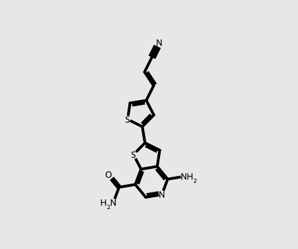 N#C/C=C/c1csc(-c2cc3c(N)ncc(C(N)=O)c3s2)c1